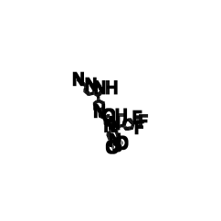 CS(=O)(=O)N1CCc2c(c(-c3ccc(C(F)(F)F)cc3)nn2CC(O)CN2CCC(c3c[nH]c4nc(C#N)ccc34)CC2)C1